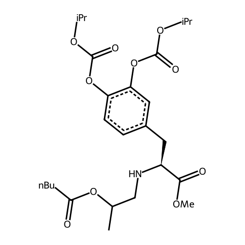 CCCCC(=O)OC(C)CN[C@@H](Cc1ccc(OC(=O)OC(C)C)c(OC(=O)OC(C)C)c1)C(=O)OC